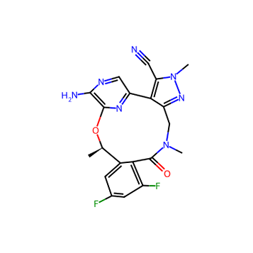 C[C@H]1Oc2nc(cnc2N)-c2c(nn(C)c2C#N)CN(C)C(=O)c2c(F)cc(F)cc21